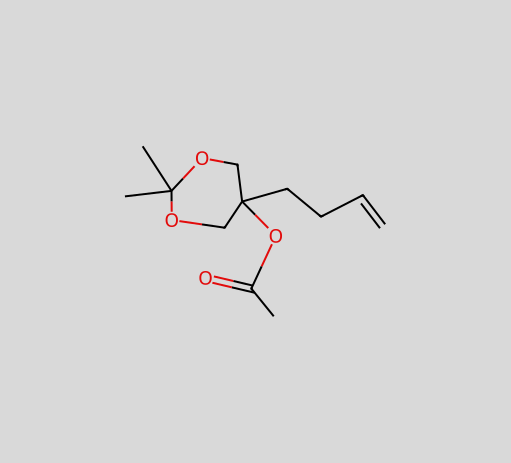 C=CCCC1(OC(C)=O)COC(C)(C)OC1